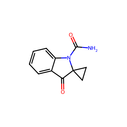 NC(=O)N1c2ccccc2C(=O)C12CC2